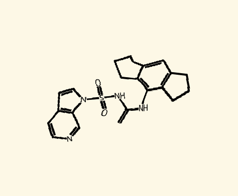 C=C(Nc1c2c(cc3c1CCC3)CCC2)NS(=O)(=O)n1ccc2ccncc21